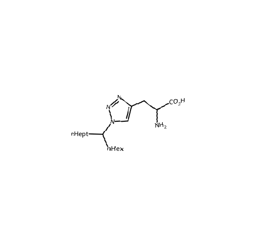 CCCCCCCC(CCCCCC)n1cc(CC(N)C(=O)O)nn1